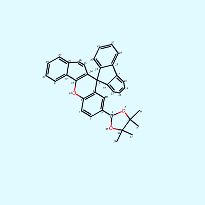 CC1(C)OB(c2ccc3c(c2)C2(c4ccccc4-c4ccccc42)c2ccc4ccccc4c2O3)OC1(C)C